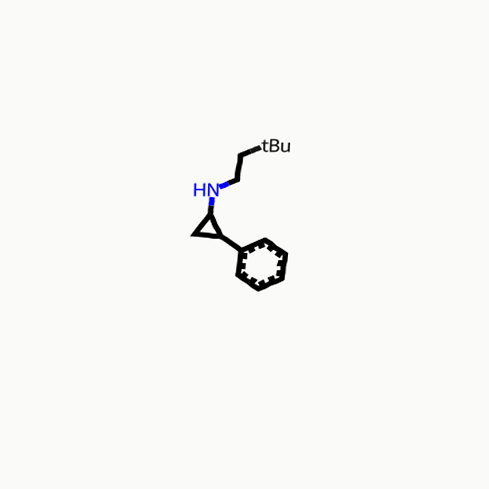 CC(C)(C)CCNC1CC1c1ccccc1